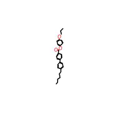 CCCCCCc1ccc(-c2ccc(C(=O)Oc3ccc(OCCC)cc3)cc2)cc1